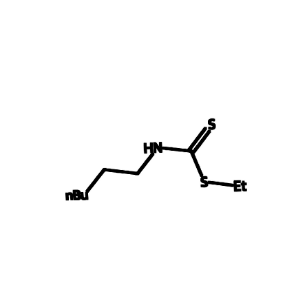 CCCCCCNC(=S)SCC